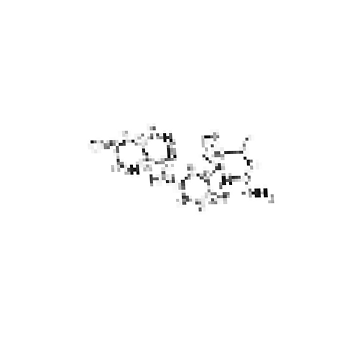 CC1SC(N)=N[C@](CF)(c2cc(Nc3nncc4cc(Cl)cnc34)ccc2F)[C@@H]1C